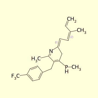 C=C/C(C)=C\C=C1/CC(PC)=C(Cc2ccc(C(F)(F)F)cc2)C(C)=N1